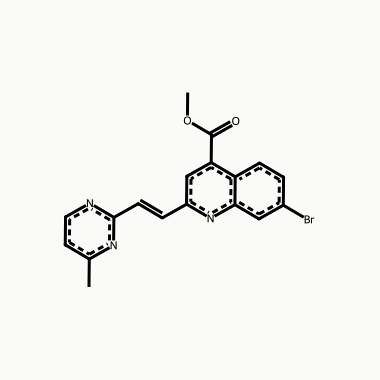 COC(=O)c1cc(C=Cc2nccc(C)n2)nc2cc(Br)ccc12